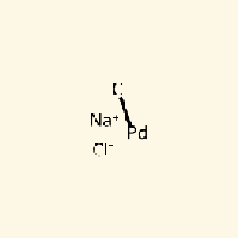 [Cl-].[Cl][Pd].[Na+]